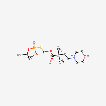 CCOP(=O)(OC)SCOC(=O)C(C)(C)CCN1CCOCC1